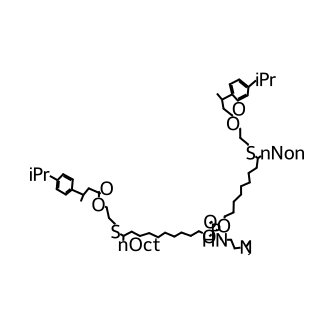 CCCCCCCCCC(CCCCCCCCOP(=O)(NCCN(C)C)OCCCCCCCCCC(CCCCCCCC)SCCCOC(=O)CC(C)c1ccc(C(C)C)cc1)SCCCOC(=O)CC(C)c1ccc(C(C)C)cc1